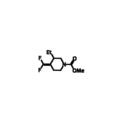 CCC1CN(C(=O)OC)CCC1=C(F)F